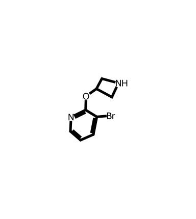 Brc1cccnc1OC1CNC1